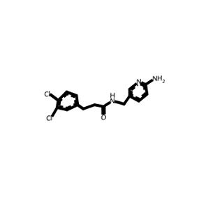 Nc1ccc(CNC(=O)[CH]Cc2ccc(Cl)c(Cl)c2)cn1